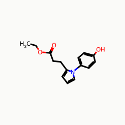 CCOC(=O)CCc1cccn1-c1ccc(O)cc1